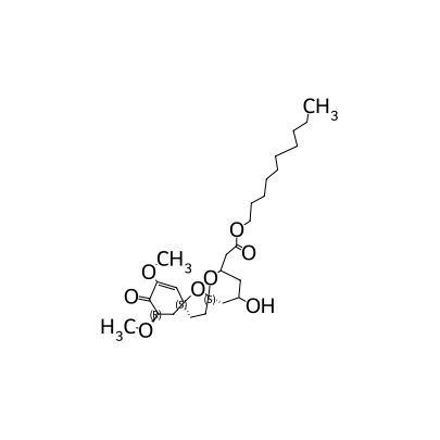 CCCCCCCCCCOC(=O)CC1CC(O)C[C@@]2(CC[C@]3(C=C(OC)C(=O)[C@H](OC)C3)O2)O1